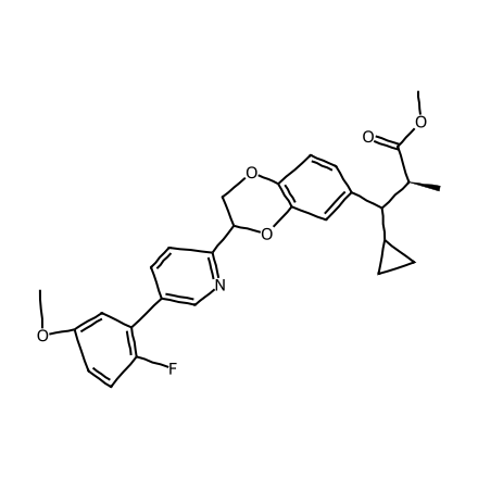 COC(=O)[C@@H](C)C(c1ccc2c(c1)OC(c1ccc(-c3cc(OC)ccc3F)cn1)CO2)C1CC1